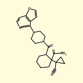 N#CC1(C2(C(N)=O)CCCCC2C(=O)N2CCN(c3nccc4occc34)CC2)CC1